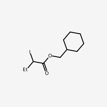 CCC(I)C(=O)OCC1CCCCC1